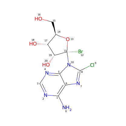 Nc1ncnc2c1nc(Cl)n2[C@]1(Br)O[C@H](CO)[C@@H](O)[C@H]1O